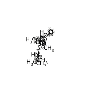 COC(=O)C(CCCCNC(=O)OC(C)(C)C)NC(=O)C(CC(C)C)NC(=O)OCc1ccccc1